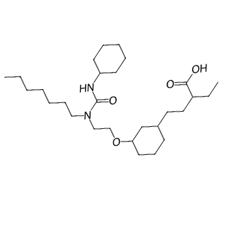 CCCCCCCN(CCOC1CCCC(CCC(CC)C(=O)O)C1)C(=O)NC1CCCCC1